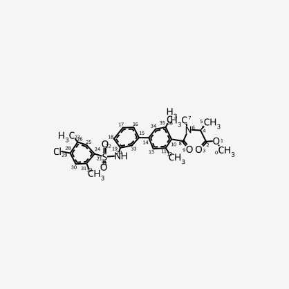 COC(=O)[C@H](C)N(C)C(=O)c1c(C)cc(-c2cccc(NS(=O)(=O)c3cc(C)c(Cl)cc3C)c2)cc1C